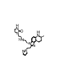 C[C@H]1CCc2c(ccc3c2nc(CCn2cccn2)n3CCNCCN2CCNC2=O)N1